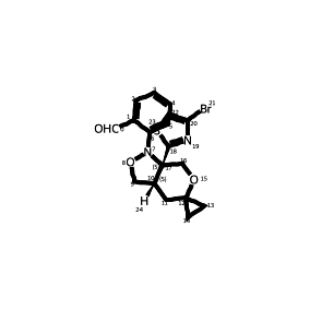 O=Cc1ccccc1N1OC[C@H]2CC3(CC3)OC[C@]21c1nc(Br)cs1